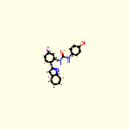 O=C(Nc1ccc(O)cc1)Nc1cc(I)ccc1-c1cc2ccccc2[nH]1